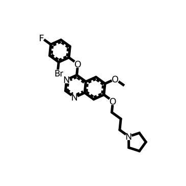 COc1cc2c(Oc3ccc(F)cc3Br)ncnc2cc1OCCCN1CCCC1